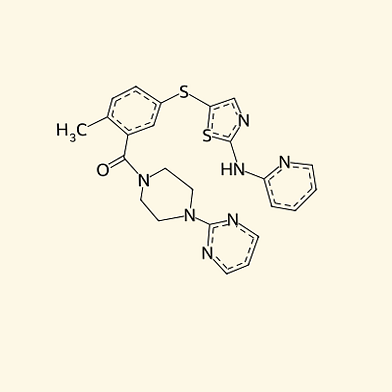 Cc1ccc(Sc2cnc(Nc3ccccn3)s2)cc1C(=O)N1CCN(c2ncccn2)CC1